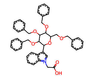 O=C(O)Cn1cc(C2OC(COCc3ccccc3)C(OCc3ccccc3)C(OCc3ccccc3)C2OCc2ccccc2)c2ccccc21